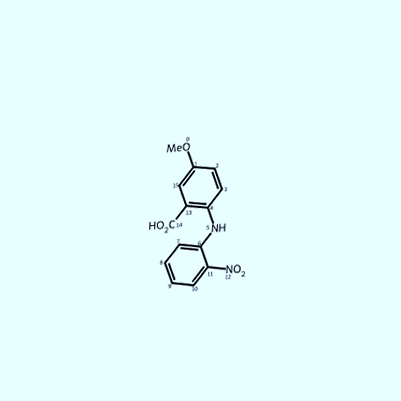 COc1ccc(Nc2ccccc2[N+](=O)[O-])c(C(=O)O)c1